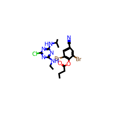 CCCC(=O)Oc1c(Br)cc(C#N)cc1Br.CCNc1nc(Cl)nc(NC(C)C)n1